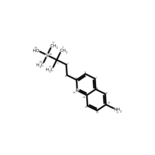 CC(C)(CCc1ccc2cc(N)ccc2n1)[Si](C)(C)O